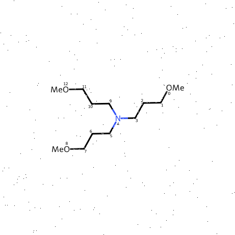 COCCCN(CCCOC)CCCOC